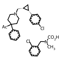 CC(=O)C1(c2ccccc2)CCN(C[C@@H]2C[C@@H]2c2ccc(Cl)cc2)CC1.CN(Cc1ccccc1Cl)C(=O)O